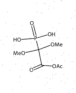 COC(OC)(C(=O)OC(C)=O)P(=O)(O)O